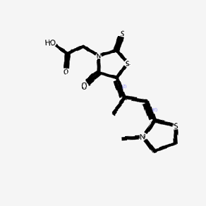 CC(/C=C1/SCCN1C)=C1/SC(=S)N(CC(=O)O)C1=O